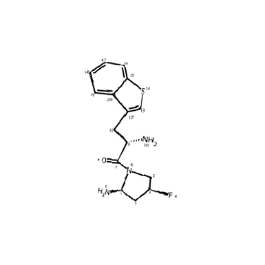 N[C@@H]1C[C@H](F)CN1C(=O)[C@@H](N)Cc1csc2ccccc12